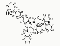 CC1(C)c2ccccc2-c2ccc(N(c3ccc(-c4ccc(C5(O)CCCCC5)cc4)cc3)c3ccc4c(c3)C3(c5ccccc5-c5ccccc53)c3ccccc3-4)cc21